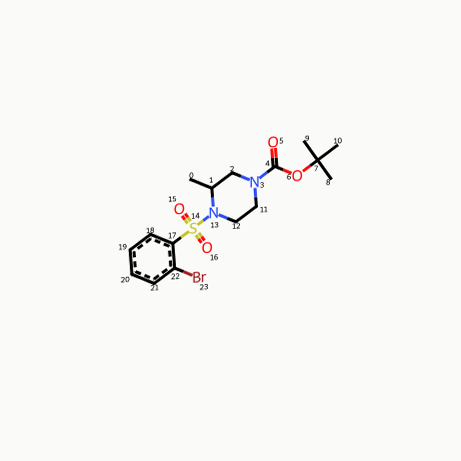 CC1CN(C(=O)OC(C)(C)C)CCN1S(=O)(=O)c1ccccc1Br